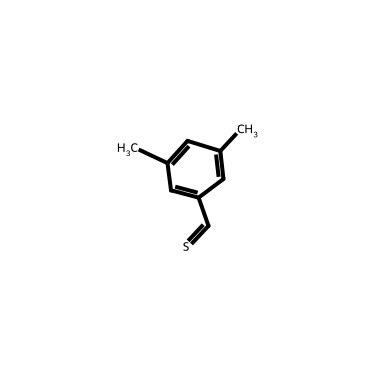 Cc1cc(C)cc(C=S)c1